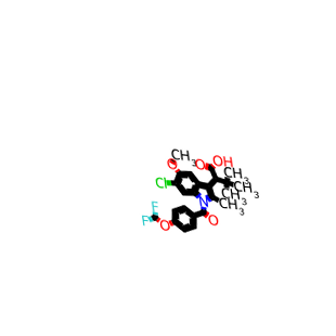 COc1cc2c(C(C(=O)O)C(C)(C)C)c(C)n(C(=O)c3ccc(OC(F)F)cc3)c2cc1Cl